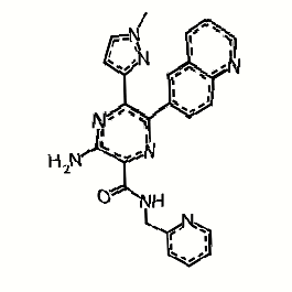 Cn1ccc(-c2nc(N)c(C(=O)NCc3ccccn3)nc2-c2ccc3ncccc3c2)n1